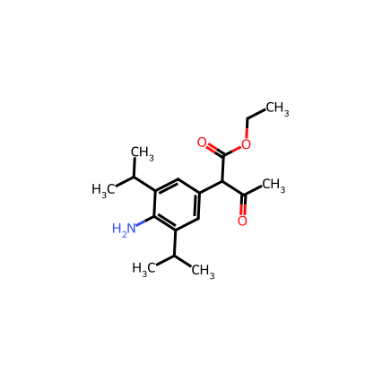 CCOC(=O)C(C(C)=O)c1cc(C(C)C)c(N)c(C(C)C)c1